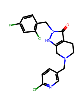 O=c1c2c([nH]n1Cc1ccc(F)cc1Cl)CN(Cc1ccc(Cl)nc1)CC2